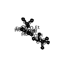 CCOC(=O)C1(C(=O)OCC)Cc2cc(O)cc(O)c2C=N1.CCOC(=O)C1(C(=O)OCC)Cc2cc(OCc3ccccc3)cc(OCc3ccccc3)c2C=N1.O=C(O)C1Cc2cc(O)c(O)c(O)c2C=N1.O=C(OCc1ccccc1)C1(C(=O)OCc2ccccc2)Cc2cc(OCc3ccccc3)c(OCc3ccccc3)c(OCc3ccccc3)c2C=N1